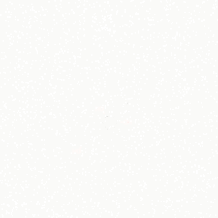 CC(C)=CCCC(C)=CCc1c(O)cc(CCCCO)cc1O